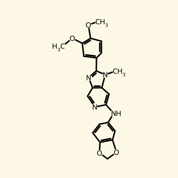 COc1ccc(-c2nc3cnc(Nc4ccc5c(c4)OCO5)cc3n2C)cc1OC